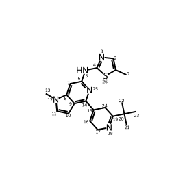 Cc1cnc(Nc2cc3c(ccn3C)c(C3=CCN=C(C(C)(C)C)C3)n2)s1